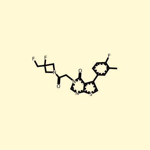 Cc1cc(-c2csc3ncn(CC(=O)N4CC(F)(CF)C4)c(=O)c23)ccc1F